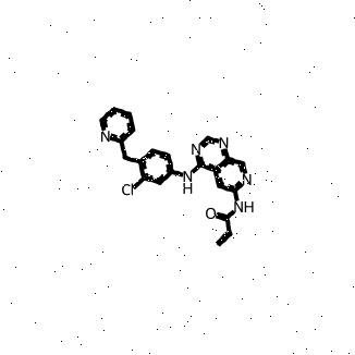 C=CC(=O)Nc1cc2c(Nc3ccc(Cc4ccccn4)c(Cl)c3)ncnc2cn1